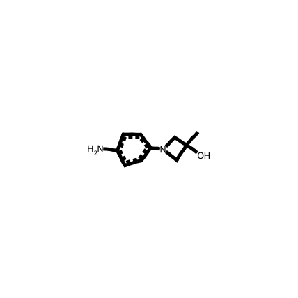 CC1(O)CN(c2ccc(N)cc2)C1